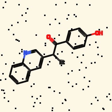 CCC(C(=O)c1ccc(O)cc1)c1cnc2ccccc2c1